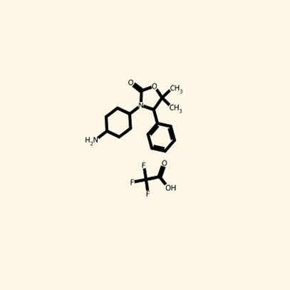 CC1(C)OC(=O)N(C2CCC(N)CC2)C1c1ccccc1.O=C(O)C(F)(F)F